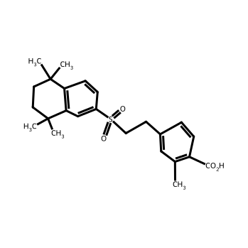 Cc1cc(CCS(=O)(=O)c2ccc3c(c2)C(C)(C)CCC3(C)C)ccc1C(=O)O